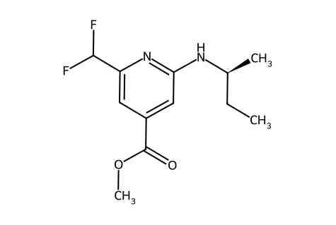 CC[C@H](C)Nc1cc(C(=O)OC)cc(C(F)F)n1